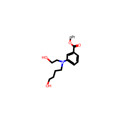 CCCOC(=O)c1cccc(N(CCO)CCCCO)c1